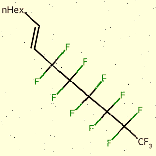 CCCCCCC=CC(F)(F)C(F)(F)C(F)(F)C(F)(F)C(F)(F)C(F)(F)F